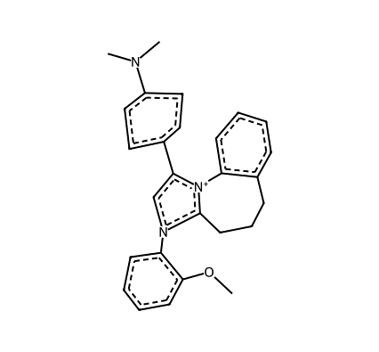 COc1ccccc1-n1cc(-c2ccc(N(C)C)cc2)[n+]2c1CCCc1ccccc1-2